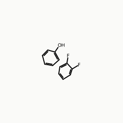 Fc1ccccc1F.Oc1ccccc1